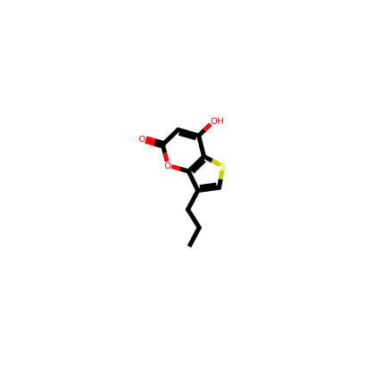 CCCc1csc2c(O)cc(=O)oc12